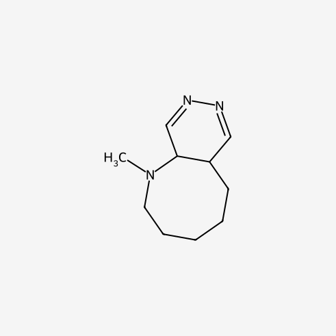 CN1CCCCCC2C=NN=CC21